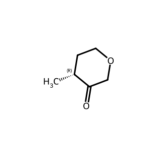 C[C@@H]1CCOCC1=O